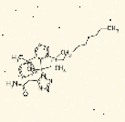 CCCCCCCCCCCC(c1ccccc1)(c1c(C(C)C)cccc1C(C)C)n1nnnc1CC(N)=O